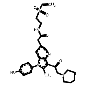 C=CS(=O)(=O)CCNC(=O)Cc1cnc2c(C(=O)CN3CCCCC3)c(C)n(-c3ccc(C#N)cc3)c2c1